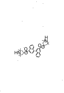 CC1(C)CC(OC(=O)c2cc(-c3ccc(C(=O)OC4CC(C)(C)NC(C)(C)C4)c4ccccc34)c3ccccc3c2)CC(C)(C)N1